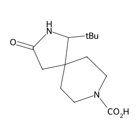 CC(C)(C)C1NC(=O)CC12CCN(C(=O)O)CC2